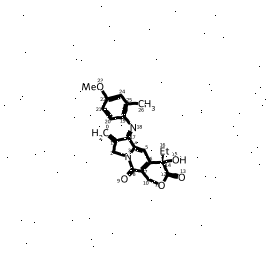 C=C1Cn2c(cc3c(c2=O)COC(=O)[C@]3(O)CC)/C1=N/c1ccc(OC)cc1C